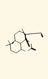 C=C[C@@]1(C)CC(=O)[C@@]23OC(=O)O[C@H]4CCC(C)(C)[C@H]([C@H](O)[C@H](C)[C@@]2(C)O1)[C@]43C